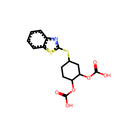 O=C(O)OC1CCC(Sc2nc3ccccc3s2)CC1OC(=O)O